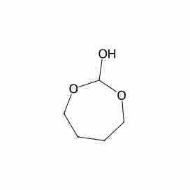 OC1OCCCCO1